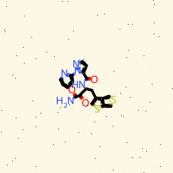 NC(=O)C(=O)C(Cc1csc2cscc12)NC(=O)c1ccnn1-c1ccccn1